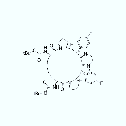 CC(C)(C)OC(=O)N[C@H]1CCCC[C@H](NC(=O)OC(C)(C)C)C(=O)N2CCC[C@H]2Cc2c3n(c4cc(F)ccc24)CCn2c-3c(c3ccc(F)cc32)C[C@@H]2CCCN2C1=O